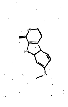 C=C1NCCC2=C1NC1C=C(OC)C=CC21